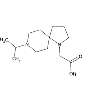 CC(C)N1CCC2(CCCN2CC(=O)O)CC1